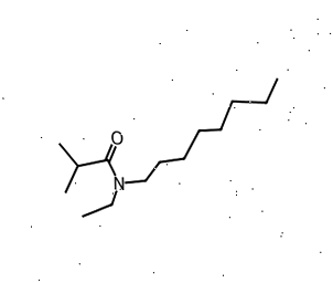 CCCCCCCCN(CC)C(=O)C(C)C